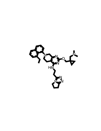 CCc1cccc2cccc(N3CCc4c(nc(OCC5(CN(C)C)CC5)nc4NCCc4nnc5n4CCC5)C3)c12